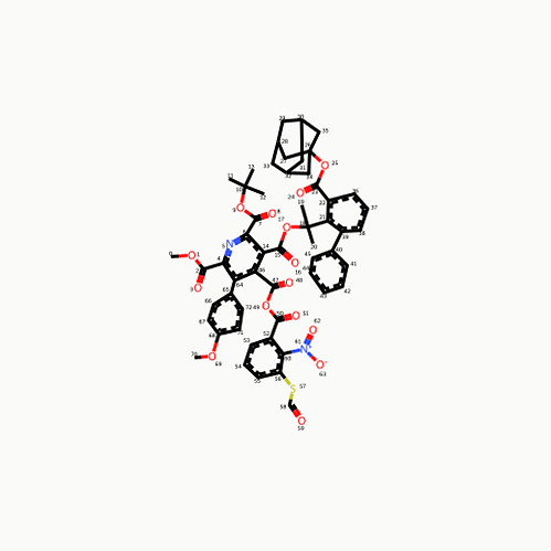 COC(=O)c1nc(C(=O)OC(C)(C)C)c(C(=O)OC(C)(C)c2c(C(=O)OC34CC5CC(CC(C5)C3)C4)cccc2-c2ccccc2)c(C(=O)OC(=O)c2cccc(S[C]=O)c2[N+](=O)[O-])c1-c1ccc(OC)cc1